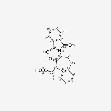 O=C(O)[C@@H]1Cc2cccc3c2N1C(=O)C(N1C(=O)c2ccccc2C1=O)CC3